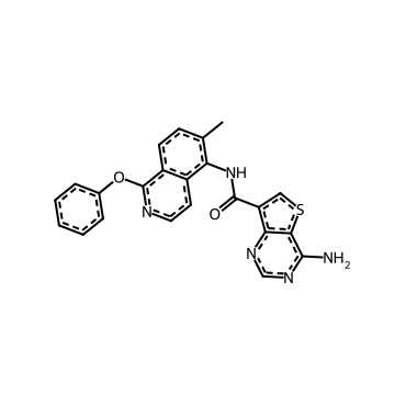 Cc1ccc2c(Oc3ccccc3)nccc2c1NC(=O)c1csc2c(N)ncnc12